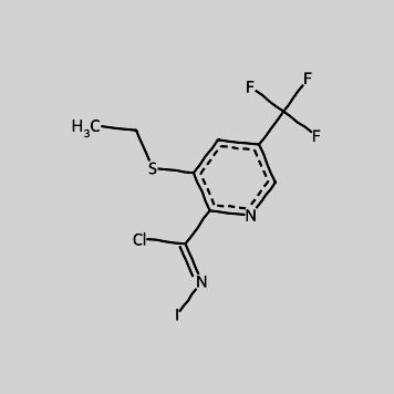 CCSc1cc(C(F)(F)F)cnc1/C(Cl)=N/I